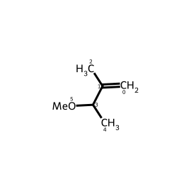 C=C(C)C(C)OC